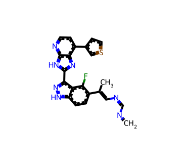 C=N/C=N\C=C(/C)c1ccc2[nH]nc(-c3nc4c(-c5ccsc5)ccnc4[nH]3)c2c1F